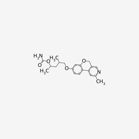 Cc1cc2c(cn1)COc1cc(OCC(C)CC(C)OC(N)=O)ccc1-2